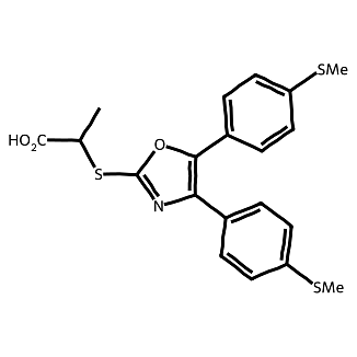 CSc1ccc(-c2nc(SC(C)C(=O)O)oc2-c2ccc(SC)cc2)cc1